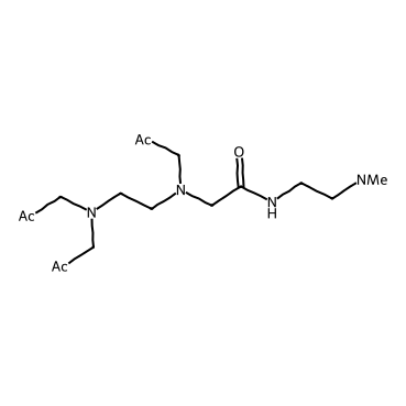 CNCCNC(=O)CN(CCN(CC(C)=O)CC(C)=O)CC(C)=O